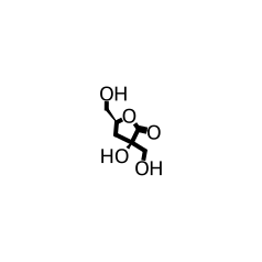 O=C1O[C@H](CO)C[C@@]1(O)CO